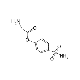 NCC(=O)Oc1ccc(S(N)(=O)=O)cc1